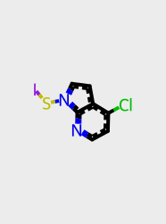 Clc1ccnc2c1ccn2SI